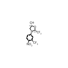 [CH][C@H]1CN(c2ccc([N+](=O)[O-])c(C(F)(F)F)c2)[C@H](C(F)(F)F)O1